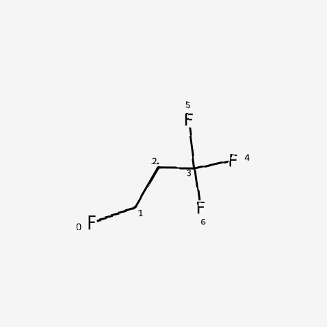 FC[CH]C(F)(F)F